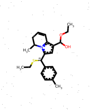 CCOC(O)c1cc([C@H](SCC)c2ccc(C)cc2)n2c1C=CCC2C